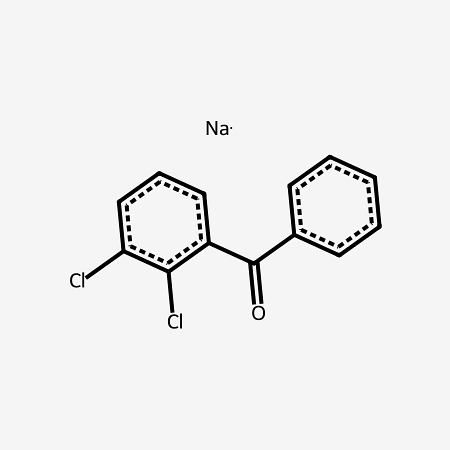 O=C(c1ccccc1)c1cccc(Cl)c1Cl.[Na]